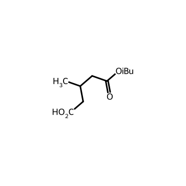 CC(C)COC(=O)CC(C)CC(=O)O